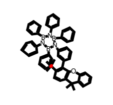 CC(C)(C)c1ccc2c(c1-c1cccc(N3B(c4ccccc4)N(c4ccccc4)B(c4ccccc4)N(c4ccccc4)B3c3ccccc3)c1)Oc1ccccc1C2(C)C